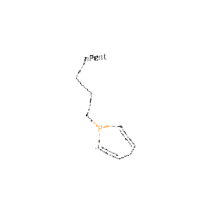 CCCCCCCCp1[c]ccc1